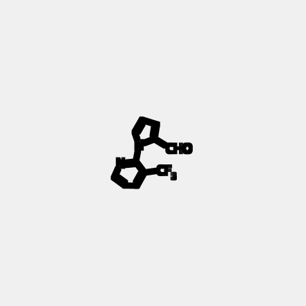 O=Cc1cccn1-c1ncccc1C(F)(F)F